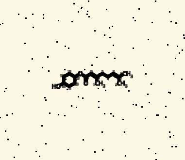 CC(C)=CCC/C(C)=C/C(=O)OC1CCC(O)CC1